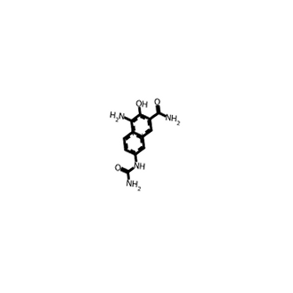 NC(=O)Nc1ccc2c(N)c(O)c(C(N)=O)cc2c1